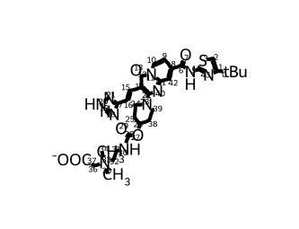 CC(C)(C)c1csc(NC(=O)c2ccn3c(=O)c(C=Cc4nn[nH]n4)c(N4CCC(OC(=O)NCC[N+](C)(C)CC(=O)[O-])CC4)nc3c2)n1